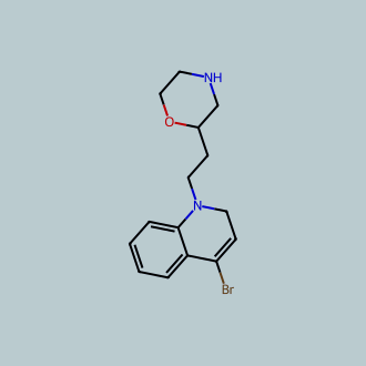 BrC1=CCN(CCC2CNCCO2)c2ccccc21